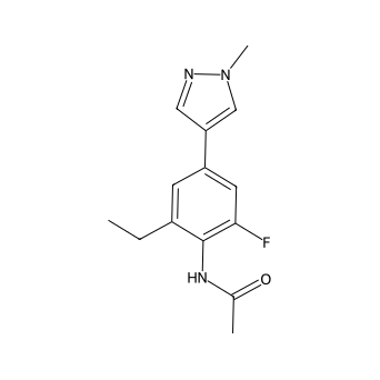 CCc1cc(-c2cnn(C)c2)cc(F)c1NC(C)=O